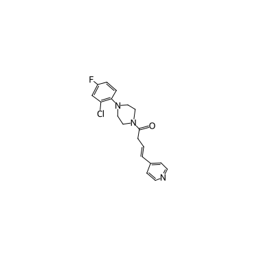 O=C(C/C=C/c1ccncc1)N1CCN(c2ccc(F)cc2Cl)CC1